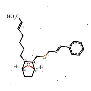 O=C(O)/C=C/CCCC[C@H]1[C@@H](CSCC=Cc2ccccc2)[C@H]2CC[C@@H]1O2